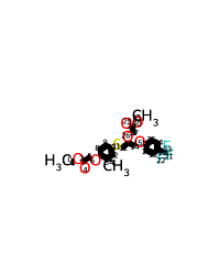 CCOC(=O)COc1ccc(SCC(COc2ccc(C(F)(F)F)cc2)OCC(=O)OC)cc1C